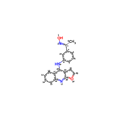 CC(=NO)c1cccc(Nc2c3ccccc3nc3occc23)c1